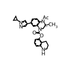 CC(=O)N1c2ccc(-c3cnn(C4CC4)c3)cc2N(C(=O)Oc2cccc3c2CCCN3)C[C@@H]1C